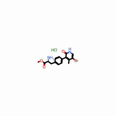 COC(=O)[C@@H](N)Cc1ccc(-c2c(C)c(Br)c[nH]c2=O)cc1.Cl